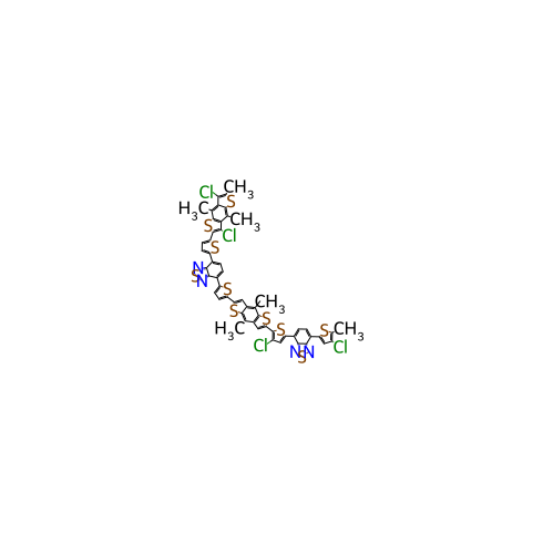 Cc1sc(-c2ccc(-c3cc(Cl)c(-c4cc5c(C)c6sc(-c7ccc(-c8ccc(-c9ccc(-c%10sc%11c(C)c%12c(Cl)c(C)sc%12c(C)c%11c%10Cl)s9)c9nsnc89)s7)cc6c(C)c5s4)s3)c3nsnc23)cc1Cl